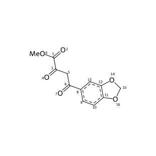 COC(=O)C(=O)CC(=O)c1ccc2c(c1)OCO2